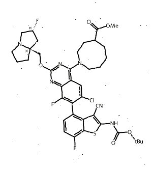 COC(=O)C1CCCCN(c2nc(OC[C@@]34CCCN3C[C@H](F)C4)nc3c(F)c(-c4ccc(F)c5sc(NC(=O)OC(C)(C)C)c(C#N)c45)c(Cl)cc23)CC1